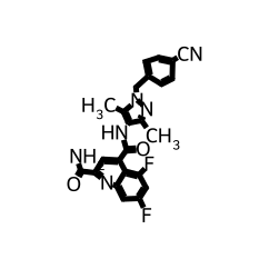 Cc1nn(Cc2ccc(C#N)cc2)c(C)c1NC(=O)c1cc(C(N)=O)nc2cc(F)cc(F)c12